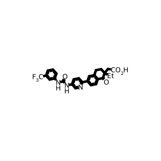 CCC1(CC(=O)O)CCc2cc(-c3ccc(NC(=O)Nc4cccc(C(F)(F)F)c4)cn3)ccc2C1=O